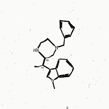 C[C@H](c1cn(C)c2ccccc12)[C@@H]1CN(Cc2ccccc2)CCN1